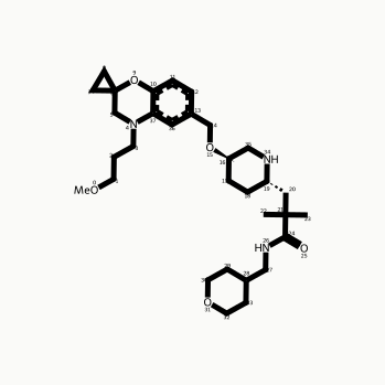 COCCCN1CC2(CC2)Oc2ccc(CO[C@@H]3CC[C@@H](CC(C)(C)C(=O)NCC4CCOCC4)NC3)cc21